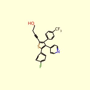 OCCC#Cc1sc(-c2ccc(F)cc2)c(-c2ccncc2)c1-c1ccc(C(F)(F)F)cc1